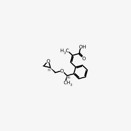 CC(=Cc1ccccc1[C@@H](C)OC[C@H]1CO1)C(=O)O